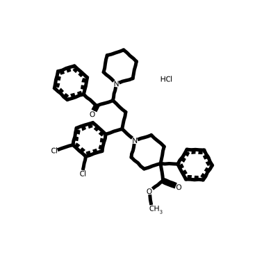 COC(=O)C1(c2ccccc2)CCN(C(CC(C(=O)c2ccccc2)N2CCCCC2)c2ccc(Cl)c(Cl)c2)CC1.Cl